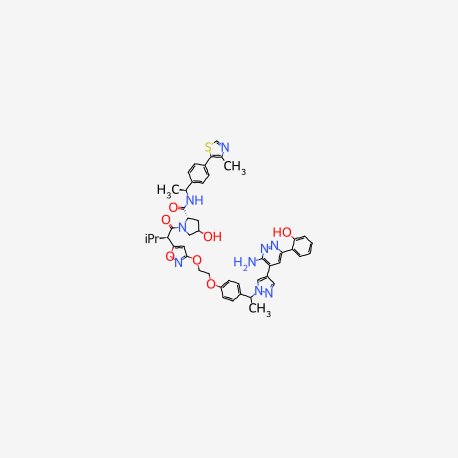 Cc1ncsc1-c1ccc([C@H](C)NC(=O)[C@@H]2C[C@@H](O)CN2C(=O)[C@@H](c2cc(OCCOc3ccc(C(C)n4cc(-c5cc(-c6ccccc6O)nnc5N)cn4)cc3)no2)C(C)C)cc1